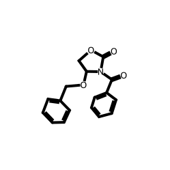 O=C1OCC(OCc2ccccc2)N1C(=O)c1ccccc1